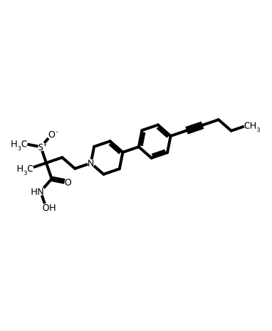 CCCC#Cc1ccc(C2=CCN(CCC(C)(C(=O)NO)[S+](C)[O-])CC2)cc1